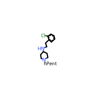 CCCCCN1CCC(NCCc2ccccc2Cl)CC1